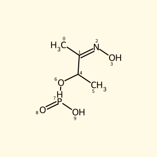 CC(=NO)C(C)O[PH](=O)O